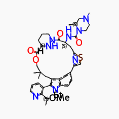 CCn1c(-c2cccnc2[C@H](C)OC)c2c3cc(ccc31)-c1csc(n1)C[C@H](NC(=O)N1CCN(C)C[C@@H]1C)C(=O)N1CCC[C@H](N1)C(=O)OCC(C)(C)C2